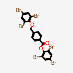 O=C(Oc1c(Br)cc(Br)cc1Br)c1ccc(COc2c(Br)cc(Br)cc2Br)cc1